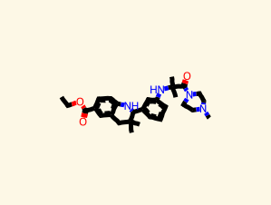 CCOC(=O)c1ccc2c(c1)CC(C)(C)C(c1cccc(NC(C)(C)C(=O)N3CCN(C)CC3)c1)N2